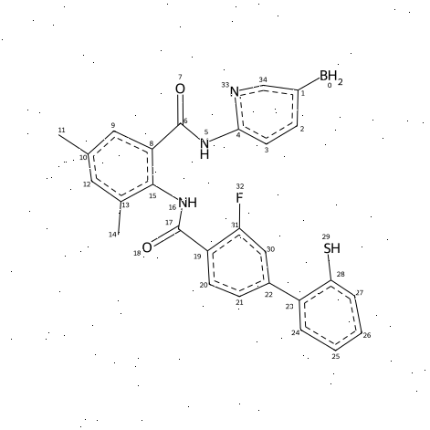 Bc1ccc(NC(=O)c2cc(C)cc(C)c2NC(=O)c2ccc(-c3ccccc3S)cc2F)nc1